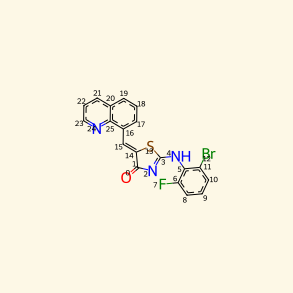 O=C1N=C(Nc2c(F)cccc2Br)SC1=Cc1cccc2cccnc12